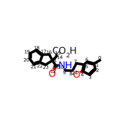 Cc1ccc2c(c1)CC(CNC(=O)C1(CC(=O)O)Cc3ccccc3C1)O2